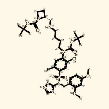 COc1ccc(CN(c2ncns2)S(=O)(=O)c2cc(Cl)c(N(CCCCNC[C@H]3CCN3C(=O)OC(C)(C)C)C(=O)OC(C)(C)C)cc2F)c(OC)c1